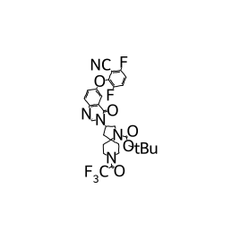 CC(C)(C)OC(=O)N1CC(n2cnc3ccc(Oc4c(F)ccc(F)c4C#N)cc3c2=O)CC12CCN(C(=O)C(F)(F)F)CC2